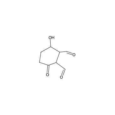 O=CC1C(=O)CCC(O)C1C=O